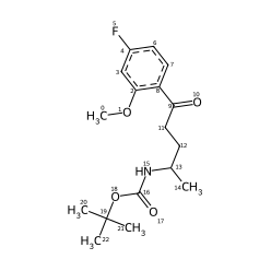 COc1cc(F)ccc1C(=O)CCC(C)NC(=O)OC(C)(C)C